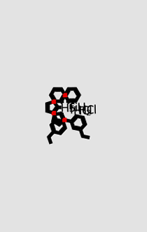 CCc1cccc(C2=[C]([Hf](=[SiH2])([C]3=C(c4cccc(CC)c4)C=CC3)([c]3ccccc3)[c]3ccccc3)CC=C2)c1.Cl.Cl